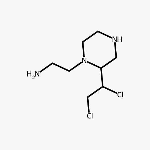 NCCN1CCNCC1C(Cl)CCl